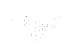 COc1ccc(CN2Cc3nc(-c4c(F)cccc4F)cc(Nc4ccc5c(n4)N(C(=O)OC(C)(C)C)CC5)c3C2=O)c(OC)c1